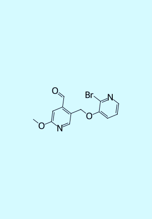 COc1cc(C=O)c(COc2cccnc2Br)cn1